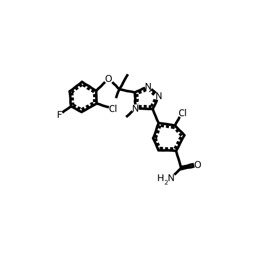 Cn1c(-c2ccc(C(N)=O)cc2Cl)nnc1C(C)(C)Oc1ccc(F)cc1Cl